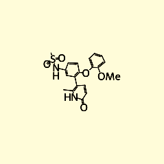 COc1ccccc1Oc1ccc(NS(C)(=O)=O)cc1-c1ccc(=O)[nH]c1C